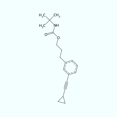 CC(C)(C)NC(=O)OCCCc1cccc(C#CC2CC2)c1